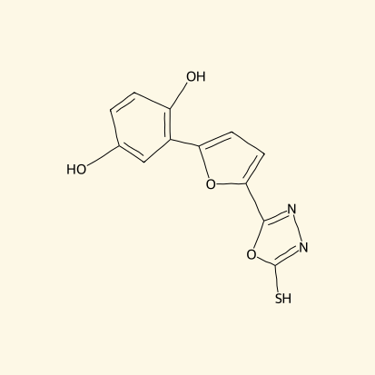 Oc1ccc(O)c(-c2ccc(-c3nnc(S)o3)o2)c1